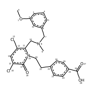 COc1cccc(CN(C)Cc2c(Cl)cc(Cl)c(=O)n2CCc2ccc(C(=O)O)cc2)c1